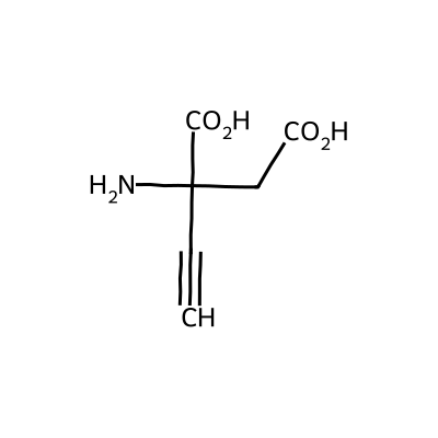 C#CC(N)(CC(=O)O)C(=O)O